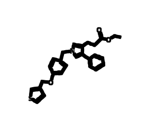 CCOC(=O)CCc1cn(Cc2ccc(OCc3ccsc3)cc2)cc1-c1ccccc1